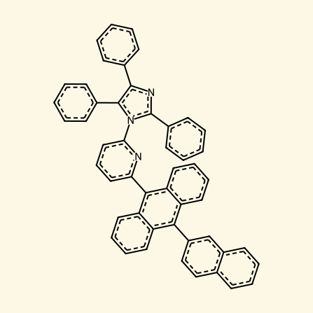 c1ccc(-c2nc(-c3ccccc3)n(-c3cccc(-c4c5ccccc5c(-c5ccc6ccccc6c5)c5ccccc45)n3)c2-c2ccccc2)cc1